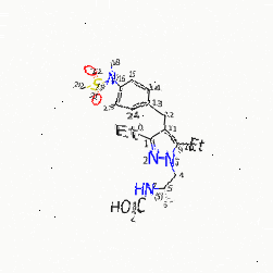 CCc1nn(C[C@H](C)NC(=O)O)c(CC)c1Cc1ccc(N(C)S(C)(=O)=O)cc1